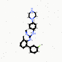 C=N/C(=N\c1c(C)cccc1-c1cccc(F)c1)Nc1ccc(N2CCNCC2)cc1